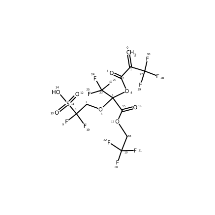 C=C(C(=O)OC(OCC(F)(F)S(=O)(=O)O)(C(=O)OCC(F)(F)F)C(F)(F)F)C(F)(F)F